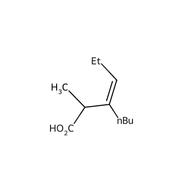 CCC=C(CCCC)C(C)C(=O)O